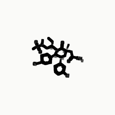 CC[C@@H](CN(C)S(C)(=O)=O)N1C(=O)[C@@](C)(CC(N)=O)C[C@H](c2cccc(Cl)c2)[C@H]1c1ccc(Cl)cc1